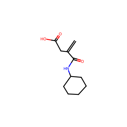 C=C(CC(=O)O)C(=O)NC1CCCCC1